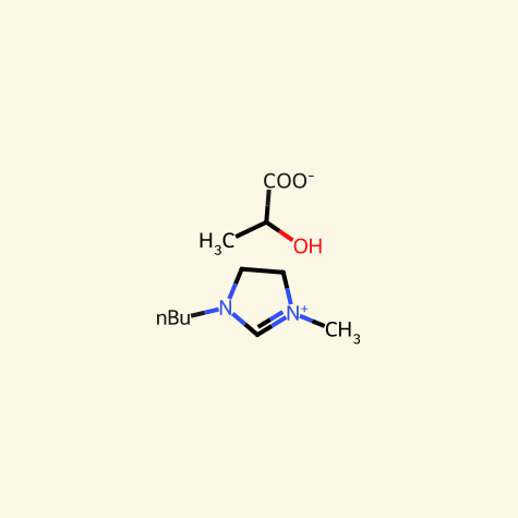 CC(O)C(=O)[O-].CCCCN1C=[N+](C)CC1